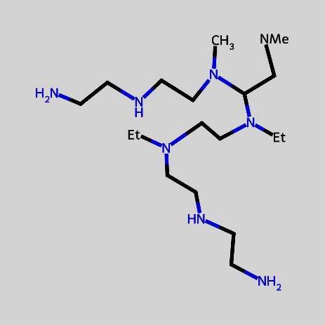 CCN(CCNCCN)CCN(CC)C(CNC)N(C)CCNCCN